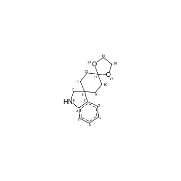 c1ccc2c(c1)NCC21CCC2(CC1)OCCO2